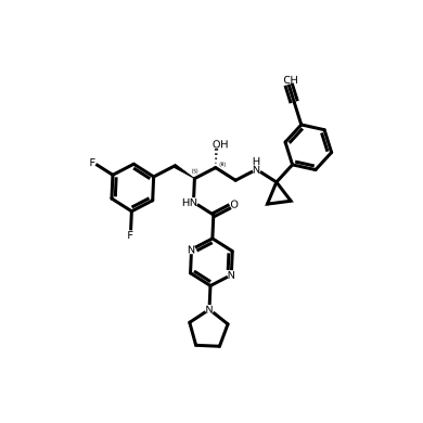 C#Cc1cccc(C2(NC[C@@H](O)[C@H](Cc3cc(F)cc(F)c3)NC(=O)c3cnc(N4CCCC4)cn3)CC2)c1